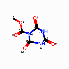 COC(=O)n1c(=O)[nH]c(=O)[nH]c1=O